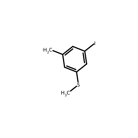 [CH2]c1cc(I)cc(SC)c1